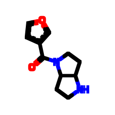 O=C(c1ccoc1)N1CCC2NCCC21